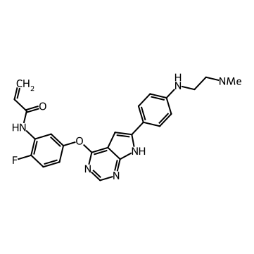 C=CC(=O)Nc1cc(Oc2ncnc3[nH]c(-c4ccc(NCCNC)cc4)cc23)ccc1F